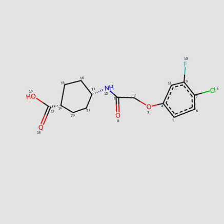 O=C(COc1ccc(Cl)c(F)c1)N[C@H]1CC[C@@H](C(=O)O)CC1